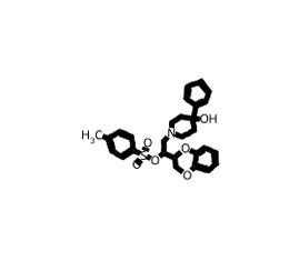 Cc1ccc(S(=O)(=O)OC(CN2CCC(O)(c3ccccc3)CC2)C2COc3ccccc3O2)cc1